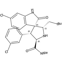 CNC(=O)[C@@H]1N[C@@H](CC(C)(C)C)[C@@]2(C(=O)Nc3cc(Cl)ccc32)[C@H]1c1cccc(Cl)c1